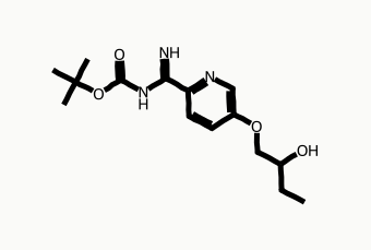 CCC(O)COc1ccc(C(=N)NC(=O)OC(C)(C)C)nc1